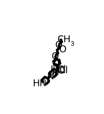 CCOC(=O)CCOc1ccc(C(=O)N2CCN(C3CCNCC3)CC2)cc1.Cl.Cl